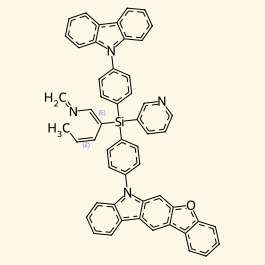 C=N/C=C(\C=C/C)[Si](c1ccc(-n2c3ccccc3c3ccccc32)cc1)(c1ccc(-n2c3ccccc3c3cc4c(cc32)oc2ccccc24)cc1)c1cccnc1